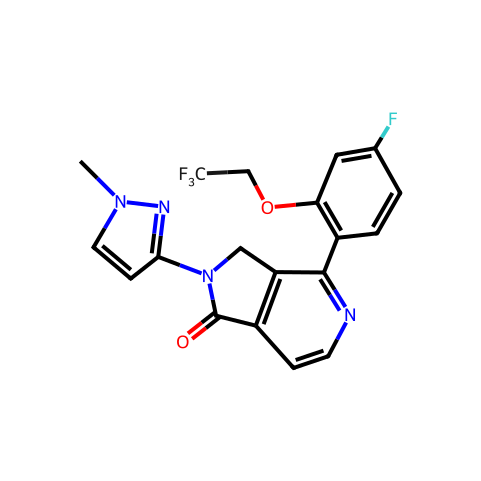 Cn1ccc(N2Cc3c(ccnc3-c3ccc(F)cc3OCC(F)(F)F)C2=O)n1